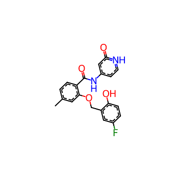 Cc1ccc(C(=O)Nc2cc[nH]c(=O)c2)c(OCc2cc(F)ccc2O)c1